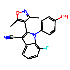 Cc1noc(C)c1-c1c(C#N)c2cccc(F)c2n1-c1ccc(O)cc1